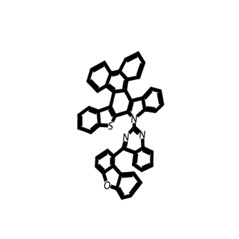 c1ccc2c(-c3cccc4oc5ccccc5c34)nc(-n3c4ccccc4c4c5c6ccccc6c6ccccc6c5c5c6ccccc6sc5c43)nc2c1